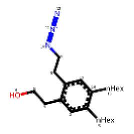 [CH2]CCCCCc1cc(CCO)c(CCN=[N+]=[N-])cc1CCCCC[CH2]